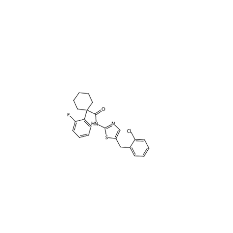 O=C(Nc1ncc(Cc2ccccc2Cl)s1)C1(c2ccccc2F)CCCCC1